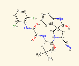 CC(C)(C)C[C@H](NC(=O)C(=O)Nc1c(F)cccc1Cl)C(=O)N1C[C@]2(C[C@H]1C#N)C(=O)Nc1ccccc12